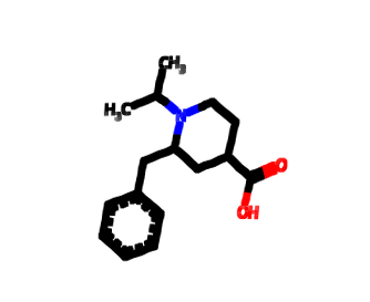 CC(C)N1CCC(C(=O)O)CC1Cc1ccccc1